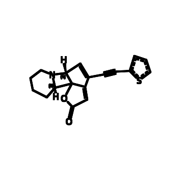 O=C1C=C2C(C#Cc3cccs3)=C[C@H]3N4CCCC[C@@H]4C23O1